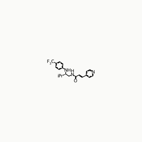 CC(C)[C@H](CNC(=O)/C=C/c1ccncc1)Nc1ccc(C(F)(F)F)cc1